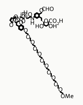 COCCOCCOCCOCCOCCOCCOCCOCCOCCOCCOCCOc1ccc(CC(C(=O)NC(C(=O)NCC(=O)Nc2ccc(COC=O)c(CC[C@@H]3O[C@H](C(=O)O)C(O)CC3O)c2)C(C)C)N2C(=O)C=CC2=O)cc1